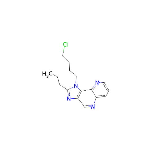 CCCc1nc2cnc3cccnc3c2n1CCCCCl